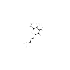 CC(C)NCCOC1OC(CO)C(O)C(O)C1C